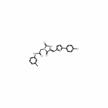 Cc1cccc(NC(=O)CN2C(=O)N/C(=C\c3ccc(-c4ccc(Cl)cc4)s3)C2=O)c1